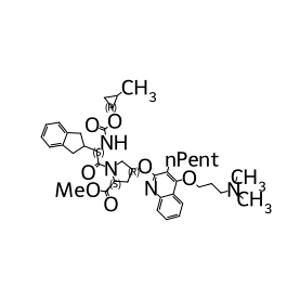 CCCCCc1c(O[C@@H]2C[C@@H](C(=O)OC)N(C(=O)[C@@H](NC(=O)O[C@@H]3CC3C)C3Cc4ccccc4C3)C2)nc2ccccc2c1OCCCN(C)C